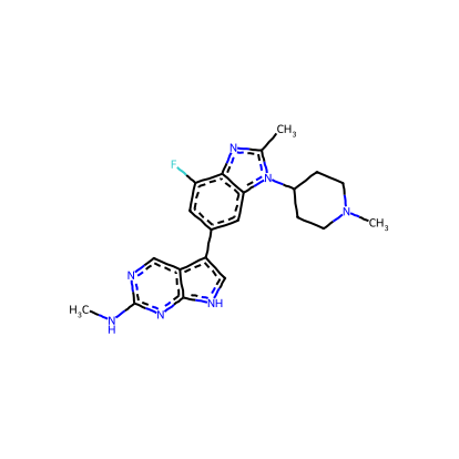 CNc1ncc2c(-c3cc(F)c4nc(C)n(C5CCN(C)CC5)c4c3)c[nH]c2n1